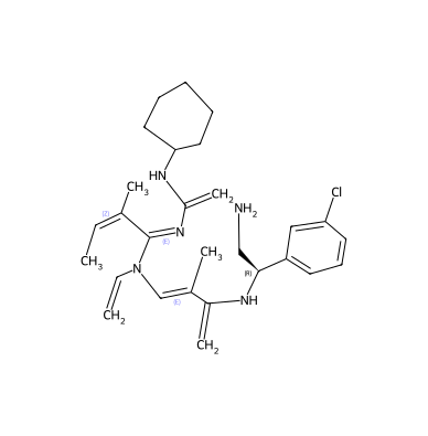 C=CN(/C=C(\C)C(=C)N[C@@H](CN)c1cccc(Cl)c1)C(=N/C(=C)NC1CCCCC1)/C(C)=C\C